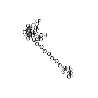 Cc1c(F)cc2nc3c(c4c2c1CC[C@@H]4NC(=O)[C@@H](C)NC(=O)[C@H](NC(=O)CCOCCOCCOCCOCCOCCOCCOCCOCCNC(=O)CCN1C(=O)CC(C(C)C)C1=O)C(C)C)Cn1c-3cc2c(c1=O)COC(=O)[C@H]2O